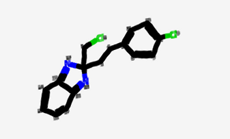 ClCC1(CCc2ccc(Cl)cc2)N=c2ccccc2=N1